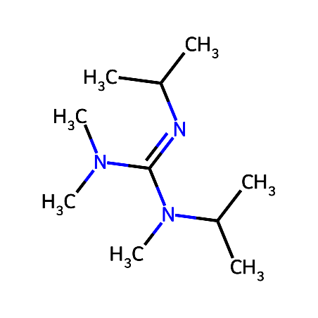 CC(C)/N=C(\N(C)C)N(C)C(C)C